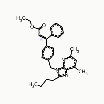 CCCCc1nc2c(C)cc(C)nc2n1Cc1ccc(/C(=C/C(=O)OCC)c2ccccc2)cc1